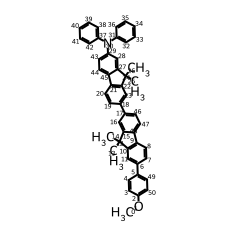 COc1ccc(-c2ccc3c(c2)C(C)(C)c2cc(-c4ccc5c(c4)C(C)(C)c4cc(N(c6ccccc6)c6ccccc6)ccc4-5)ccc2-3)cc1